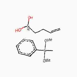 C=CCC[SiH](O)O.CO[Si](C)(OC)c1ccccc1